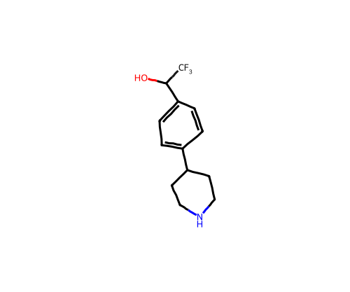 OC(c1ccc(C2CCNCC2)cc1)C(F)(F)F